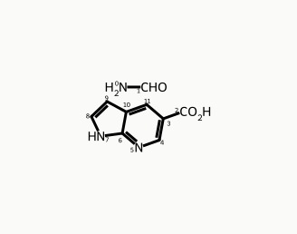 NC=O.O=C(O)c1cnc2[nH]ccc2c1